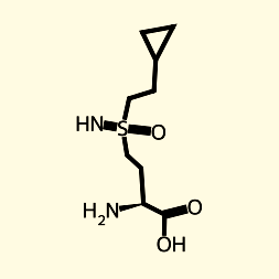 N=S(=O)(CCC1CC1)CC[C@H](N)C(=O)O